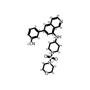 N#Cc1cccc(-c2cc(NC3CCN(S(=O)(=O)N4CCOCC4)CC3)c3cnccc3c2)c1